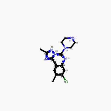 Cc1nc2c3cc(C)c(Cl)cc3nc(N3CCNCC3)n2n1